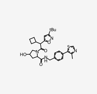 Cc1ncsc1-c1ccc(CNC(=O)C2CC(O)CN2C(=O)C(c2cc(C(C)(C)C)no2)C2CCC2)cc1